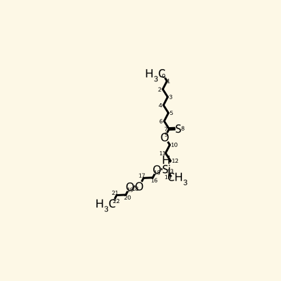 CCCCCCCC(=S)OCCC[SiH](C)OCCOOCCC